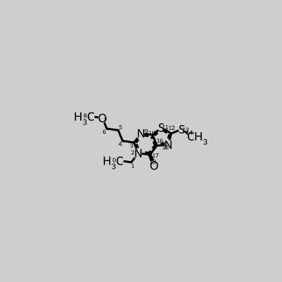 CCn1c(CCCOC)nc2sc(SC)nc2c1=O